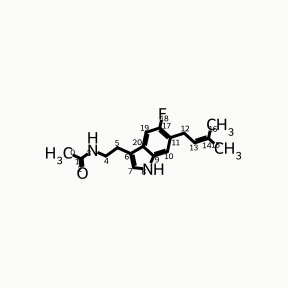 CC(=O)NCCc1c[nH]c2cc(CC=C(C)C)c(F)cc12